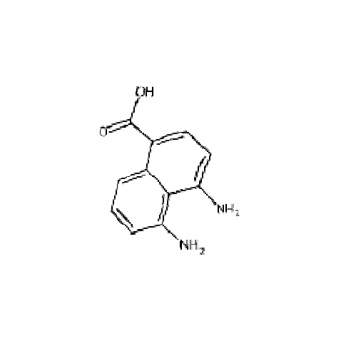 Nc1cccc2c(C(=O)O)ccc(N)c12